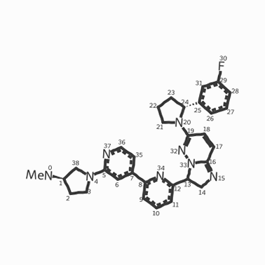 CN[C@@H]1CCN(c2cc(-c3cccc(C4CN=C5C=CC(N6CCC[C@@H]6c6cccc(F)c6)=NN54)n3)ccn2)C1